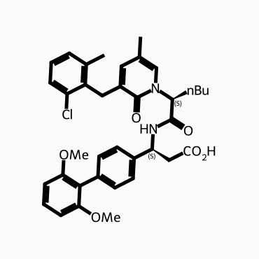 CCCC[C@@H](C(=O)N[C@@H](CC(=O)O)c1ccc(-c2c(OC)cccc2OC)cc1)n1cc(C)cc(Cc2c(C)cccc2Cl)c1=O